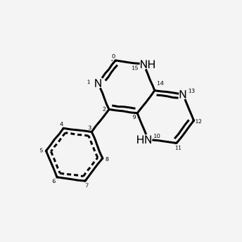 [C]1=NC(c2ccccc2)=C2NC=CN=C2N1